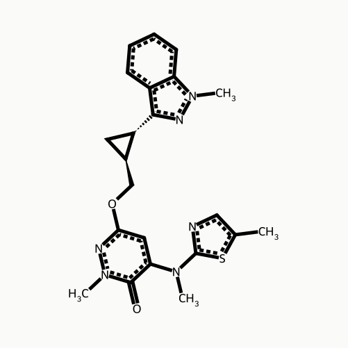 Cc1cnc(N(C)c2cc(OC[C@H]3C[C@@H]3c3nn(C)c4ccccc34)nn(C)c2=O)s1